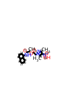 Cc1nn(CC(=O)OC(C)C(=O)Nc2cccc3ccccc23)c(C)c1[N+](=O)O